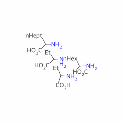 CCC(N)C(=O)O.CCC(N)C(=O)O.CCCCCCC(N)C(=O)O.CCCCCCCC(N)C(=O)O